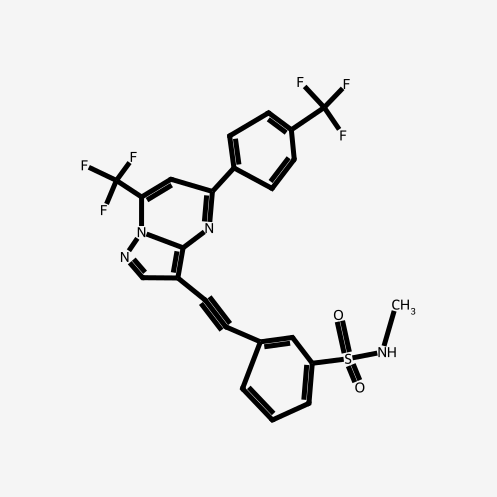 CNS(=O)(=O)c1cccc(C#Cc2cnn3c(C(F)(F)F)cc(-c4ccc(C(F)(F)F)cc4)nc23)c1